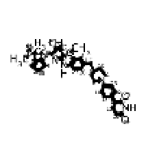 COc1cc(CC2CCN(c3ccc(C4CCC(=O)NC4=O)cc3)CC2)ccc1Nc1ncc(C)c(Nc2ccccc2P(C)(C)=O)n1